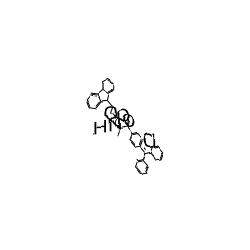 C[C@@H](NC(=O)OCC1c2ccccc2-c2ccccc21)C(=O)c1ccc([C](c2ccccc2)c2ccccc2)c(Cl)c1